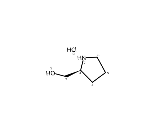 Cl.OC[C@@H]1CCCN1